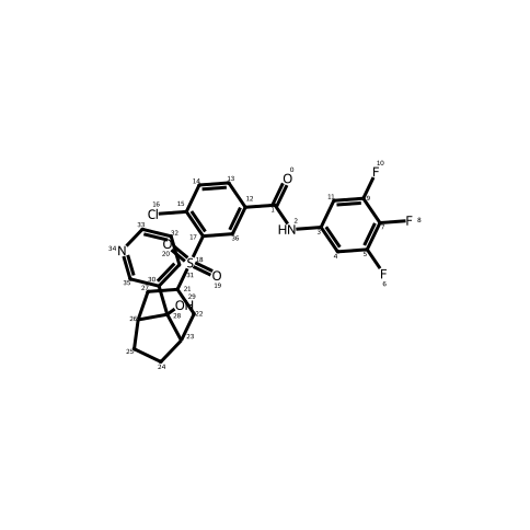 O=C(Nc1cc(F)c(F)c(F)c1)c1ccc(Cl)c(S(=O)(=O)C2CC3CCC(C2)C3(O)c2cccnc2)c1